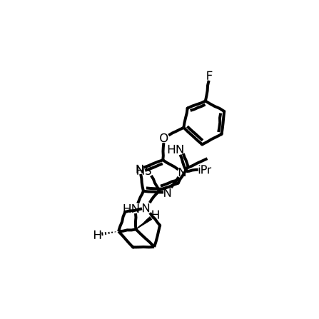 CC(=N)/C=C(\S)N1CC2C[C@@H](C1)[C@@H]2Nc1nc(Oc2cccc(F)c2)n(C(C)C)n1